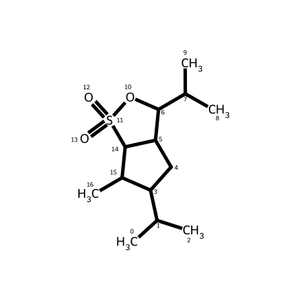 CC(C)C1CC2C(C(C)C)OS(=O)(=O)C2C1C